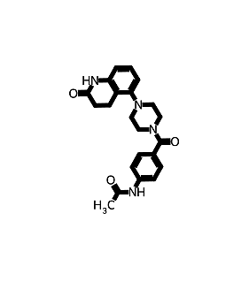 CC(=O)Nc1ccc(C(=O)N2CCN(c3cccc4c3CCC(=O)N4)CC2)cc1